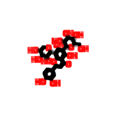 O=c1cc(-c2ccc(O)c(O)c2)oc2c([C@H]3OC[C@H](O)[C@H](O)[C@H]3O)c(O)c([C@@H]3O[C@H](CO)[C@@H](O)[C@H](O)[C@H]3O)c(O)c12